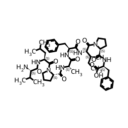 CC[C@H](C)[C@H](NC(=O)[C@H](Cc1ccccc1)NC(=O)[C@H](C)NC(=O)[C@@H]1CCCN1C(=O)[C@H](CC(C)C)NC(=O)[C@@H](N)C(C)C)C(=O)N1CCC[C@H]1C(=O)N[C@@H](Cc1ccccc1)C(=O)O